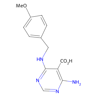 COc1ccc(CNc2ncnc(N)c2C(=O)O)cc1